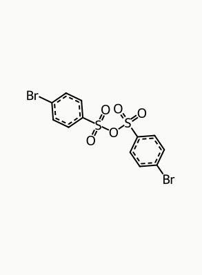 O=S(=O)(OS(=O)(=O)c1ccc(Br)cc1)c1ccc(Br)cc1